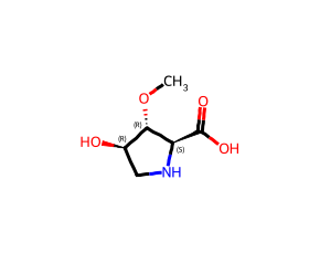 CO[C@H]1[C@H](O)CN[C@@H]1C(=O)O